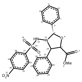 COC(=O)C1O[C@@H](c2ccccc2)N(NS(=O)(=O)c2ccc([N+](=O)[O-])cc2)C1c1ccccc1